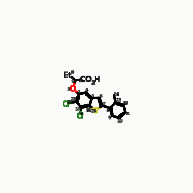 CCC(Oc1cc2cc(-c3ccccc3C)sc2c(Cl)c1Cl)C(=O)O